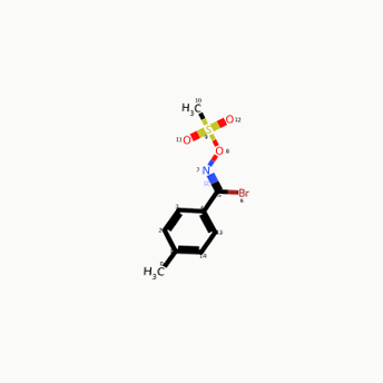 Cc1ccc(/C(Br)=N/OS(C)(=O)=O)cc1